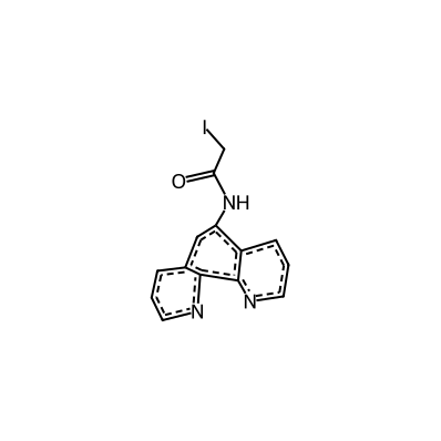 O=C(CI)Nc1cc2cccnc2c2ncccc12